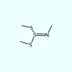 CN=S(SC)SC